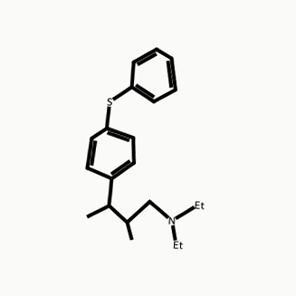 CCN(CC)CC(C)C(C)c1ccc(Sc2ccccc2)cc1